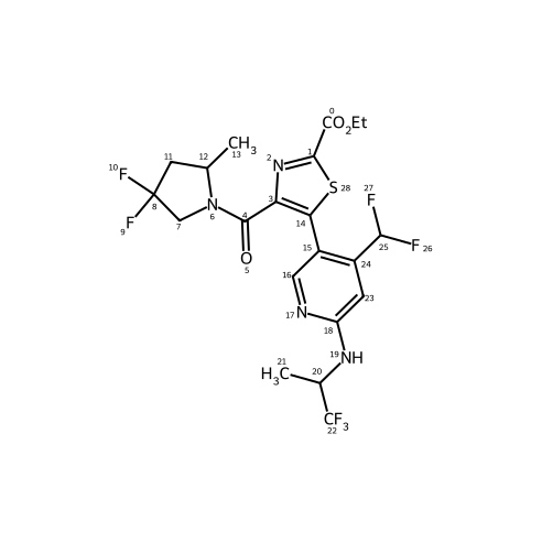 CCOC(=O)c1nc(C(=O)N2CC(F)(F)CC2C)c(-c2cnc(NC(C)C(F)(F)F)cc2C(F)F)s1